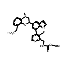 CCOC(=O)Cc1cccc2c1OC(c1cc(-c3ccnc(CNC(=O)OC(C)(C)C)c3F)c3occc3c1)CN2C